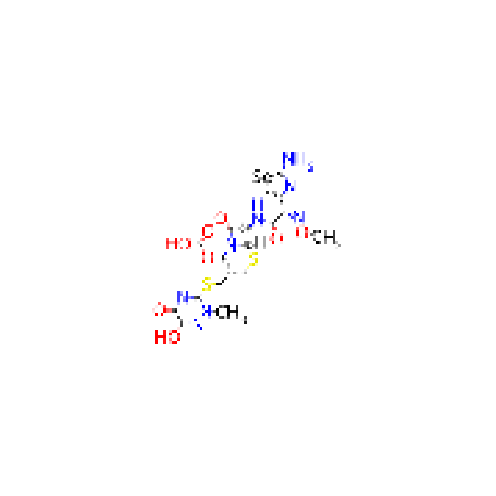 CO/N=C(\C(=O)N[C@@H]1C(=O)N2C(OC(=O)O)=C(CSc3nc(=O)c(O)nn3C)CS[C@H]12)c1c[se]c(N)n1